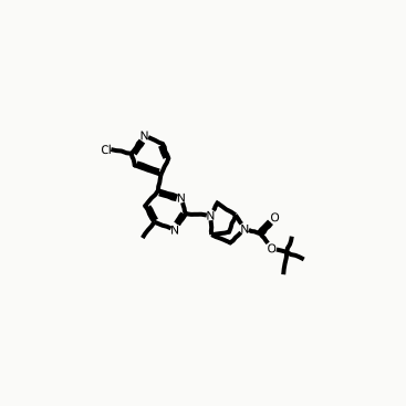 Cc1cc(-c2ccnc(Cl)c2)nc(N2CC3CC2CN3C(=O)OC(C)(C)C)n1